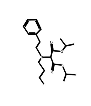 CCCCN(CCc1ccccc1)C(C(=O)OC(C)C)C(=O)OC(C)C